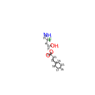 N=C[C@@H](F)C[C@H](O)COC(=O)/C=C/c1ccccc1